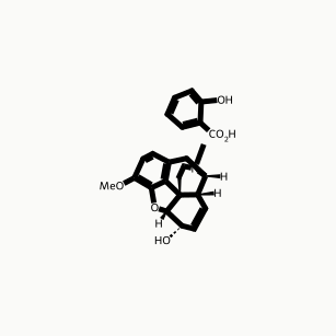 COc1ccc2c3c1O[C@H]1[C@@H](O)C=C[C@H]4[C@@H](C2)N(C)CC[C@@]341.O=C(O)c1ccccc1O